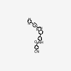 N#Cc1ccc(C(=O)Nc2ccc(-c3ccc4ncc(N5CCN(c6cnccn6)CC5)nc4c3)cc2)cc1